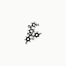 Cc1ccc(Nc2c(-c3ccc(F)cc3)nc3n2CCN(C(=O)[C@@H]2CCNC2)C3)cc1